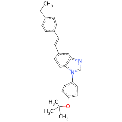 CCc1ccc(C=Cc2ccc3c(c2)ncn3-c2ccc(OC(C)(C)C)cc2)cc1